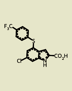 O=C(O)c1cc2c(Sc3ccc(C(F)(F)F)cc3)cc(Cl)cc2[nH]1